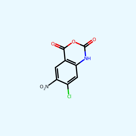 O=c1[nH]c2cc(Cl)c([N+](=O)[O-])cc2c(=O)o1